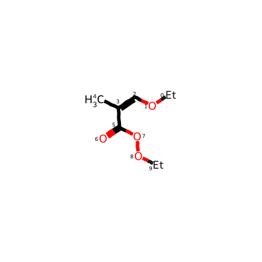 CCOC=C(C)C(=O)OOCC